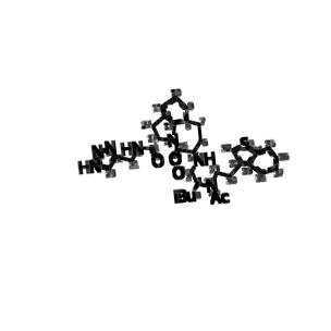 CC[C@H](C)[C@@H](C(=O)N[C@H]1CCc2cccc3c2N(C1=O)[C@H](C(=O)NCc1c[nH]nn1)C3)N(CCc1csc2ccccc12)C(C)=O